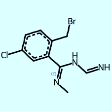 C/N=C(\NC=N)c1cc(Cl)ccc1CBr